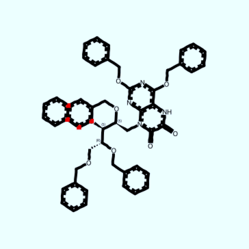 O=c1[nH]c2c(OCc3ccccc3)nc(OCc3ccccc3)nc2n(C[C@H](OCc2ccccc2)[C@H](OCc2ccccc2)[C@@H](COCc2ccccc2)OCc2ccccc2)c1=O